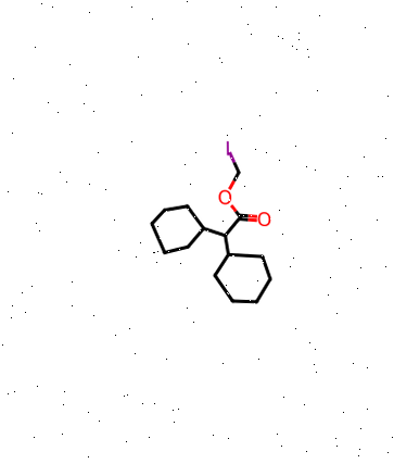 O=C(OCI)C(C1CCCCC1)C1CCCCC1